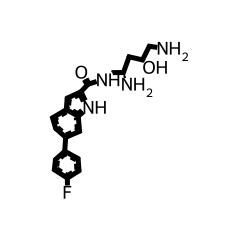 NC[C@@H](O)C[C@H](N)CNC(=O)c1cc2ccc(-c3ccc(F)cc3)cc2[nH]1